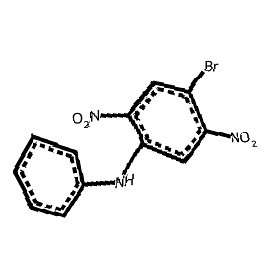 O=[N+]([O-])c1cc(Nc2ccccc2)c([N+](=O)[O-])cc1Br